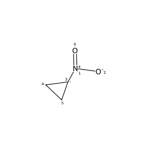 O=[N+]([O-])[C]1CC1